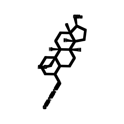 COC[C@]12CCCC(C=C=C=O)C1CC[C@@H]1[C@@H]2CC[C@]2(C)[C@@H](OC)CC[C@@H]12